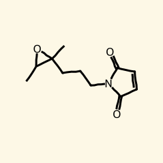 CC1OC1(C)CCCN1C(=O)C=CC1=O